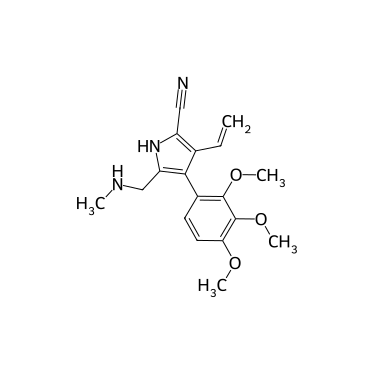 C=Cc1c(C#N)[nH]c(CNC)c1-c1ccc(OC)c(OC)c1OC